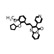 COc1cccc(C=Cc2nc3ccccn3c(=O)c2-c2ccncc2)c1OC1CCCC1